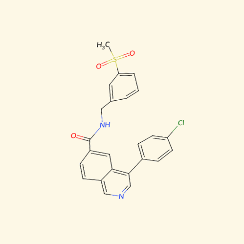 CS(=O)(=O)c1cccc(CNC(=O)c2ccc3cncc(-c4ccc(Cl)cc4)c3c2)c1